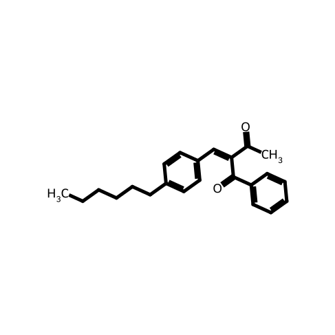 CCCCCCc1ccc(C=C(C(C)=O)C(=O)c2ccccc2)cc1